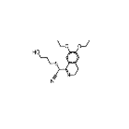 CCOc1cc2c(cc1OCC)C(C(C#N)SCCCO)=NCC2